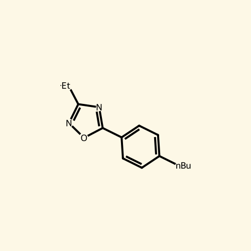 C[CH]c1noc(-c2ccc(CCCC)cc2)n1